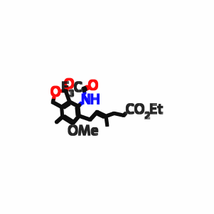 CCOC(=O)CC/C(C)=C/Cc1c(NC(=O)C(F)(F)F)c2c(c(C)c1OC)COC2=O